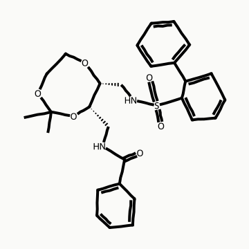 CC1(C)OCCO[C@H](CNS(=O)(=O)c2ccccc2-c2ccccc2)[C@H](CNC(=O)c2ccccc2)O1